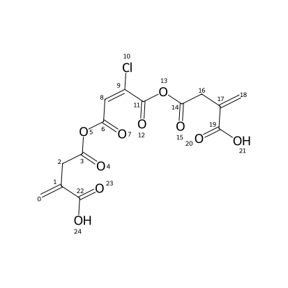 C=C(CC(=O)OC(=O)/C=C(/Cl)C(=O)OC(=O)CC(=C)C(=O)O)C(=O)O